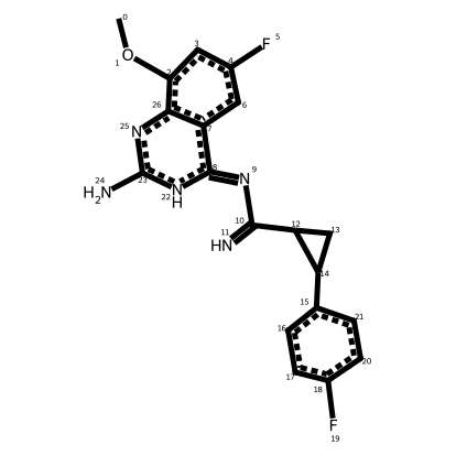 COc1cc(F)cc2/c(=N/C(=N)C3CC3c3ccc(F)cc3)[nH]c(N)nc12